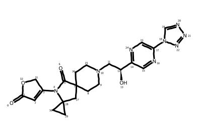 O=C1C=C(N2C(=O)C3(CCN(C[C@H](O)c4cnc(-n5cnnn5)cn4)CC3)CC23CC3)CO1